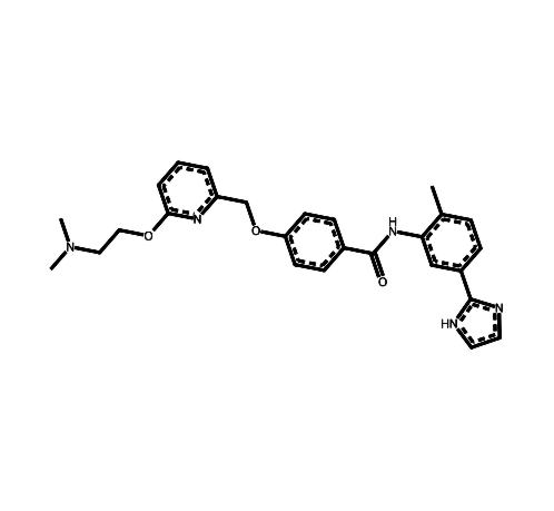 Cc1ccc(-c2ncc[nH]2)cc1NC(=O)c1ccc(OCc2cccc(OCCN(C)C)n2)cc1